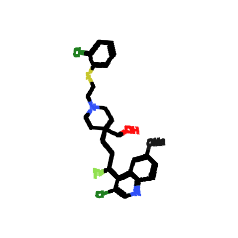 COc1ccc2ncc(Cl)c([C@@H](F)CCC3(CO)CCN(CCSc4ccccc4Cl)CC3)c2c1